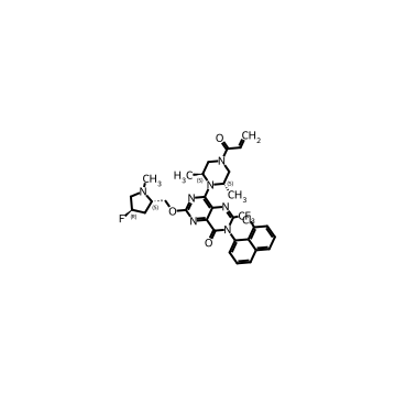 C=CC(=O)N1C[C@H](C)N(c2nc(OC[C@@H]3C[C@@H](F)CN3C)nc3c(=O)n(-c4cccc5cccc(Cl)c45)c(C(F)(F)F)nc23)[C@@H](C)C1